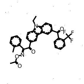 CCn1c2ccc(C(=O)/C(=N/OC(C)=O)c3ccccc3C)cc2c2cc(C(=O)c3ccccc3C(F)(F)F)ccc21